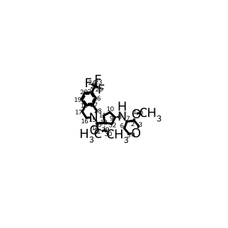 COC1COCCC1N[C@@H]1CC[C@@](C(=O)N2CCc3ccc(C(F)(F)F)cc3C2)(C(C)C)C1